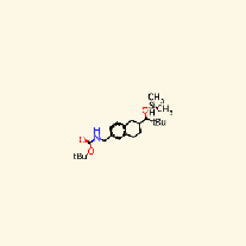 C[SiH](C)OC(C1CCc2cc(CNC(=O)OC(C)(C)C)ccc2C1)C(C)(C)C